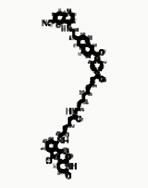 N#Cc1ccc2nccc(NCCc3ccc4cc(C(=O)N5CCN(C(=O)CCCCCCCCNC(=O)CCCCCNc6cccc7c6C(=O)N(C6CCC(=O)NC6=O)C7=O)CC5)ccc4c3)c2c1